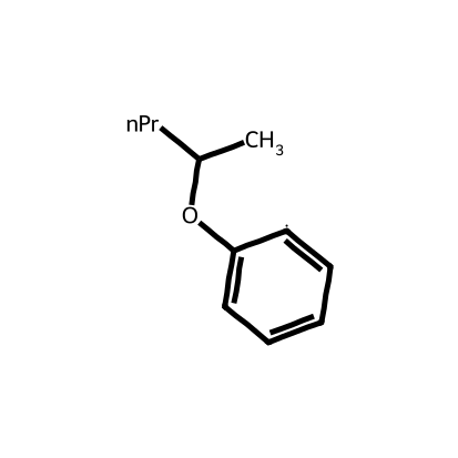 CCCC(C)Oc1[c]cccc1